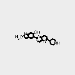 Cn1cc2cc(-c3ncc4nc(C5CCNCC5)ccc4n3)c(O)cc2n1